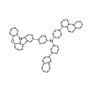 c1cc(-c2ccc3ccccc3c2)cc(N(c2ccc(-c3ccc4c(c3)c3cccc5c3n4-c3ccccc3O5)cc2)c2ccc(-c3cccc4c3ccc3ccccc34)cc2)c1